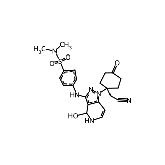 CN(C)S(=O)(=O)c1ccc(Nc2nn(C3(CC#N)CCC(=O)CC3)c3c2C(O)NC=C3)cc1